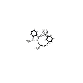 C.CSc1ccccc1C1CC[C@H](C)OCc2cccc(c2)S(=O)(=O)O1